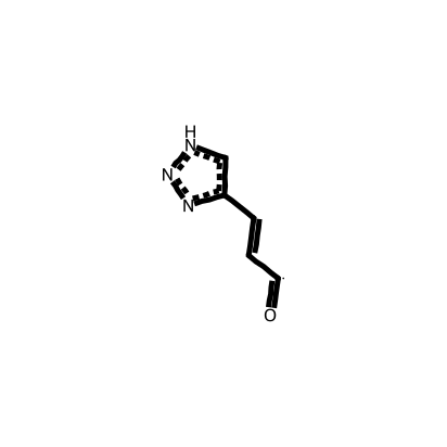 O=[C]C=Cc1c[nH]nn1